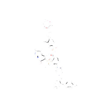 CC1(C)CCC(CN2CCN(c3ccc(C(=O)NS(=O)(=O)c4ccc(NC[C@H]5COCCO5)c([N+](=O)[O-])c4)c(P4(=O)CCOc5nc6[nH]ccc6cc54)c3)CC2)=C(c2ccc(Cl)cc2)C1